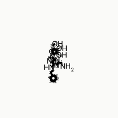 NCc1nc(NCCc2ccccc2)c2ncn([C@@H]3O[C@H](CO)[C@@H](O)[C@H]3O)c2n1